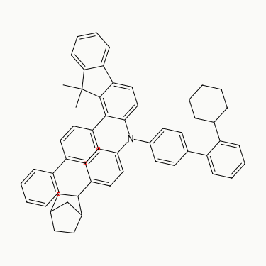 CC1(C)c2ccccc2-c2ccc(N(c3ccc(-c4ccccc4C4CCCCC4)cc3)c3ccc(C4CC5CCC4C5)cc3)c(-c3ccc(-c4ccccc4)cc3)c21